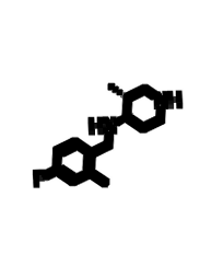 Cc1cc(F)ccc1CN[C@@H]1CCNC[C@H]1C